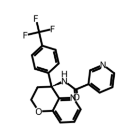 O=C(N[C@]1(c2ccc(C(F)(F)F)cc2)CCOc2cccnc21)c1cccnc1